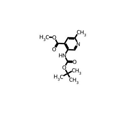 COC(=O)c1cc(C)ncc1NC(=O)OC(C)(C)C